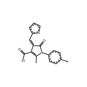 CCC(=O)C1=C(C)N(c2ccc(F)cc2)C(=O)/C1=C\c1cccs1